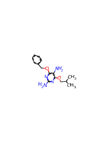 CC(C)COc1nc(N)nc(OCc2ccccc2)c1N